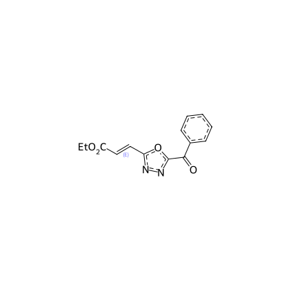 CCOC(=O)/C=C/c1nnc(C(=O)c2ccccc2)o1